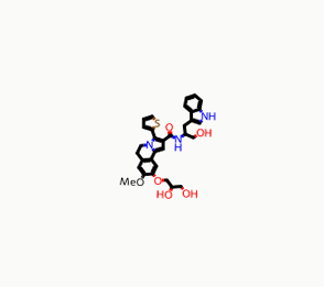 COc1cc2c(cc1OCC(O)CO)-c1cc(C(=O)NC(CO)Cc3c[nH]c4ccccc34)c(-c3cccs3)n1CC2